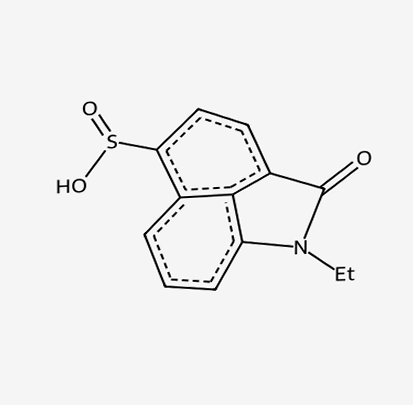 CCN1C(=O)c2ccc(S(=O)O)c3cccc1c23